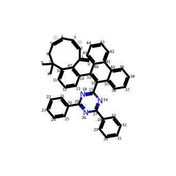 C=C1/C=C\C=C/CC(C)(C)c2cccc(-c3c(-c4nc(-c5ccccc5)nc(-c5ccccc5)n4)c4ccccc4c4ccccc34)c21